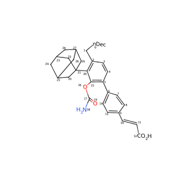 CCCCCCCCCCCc1ccc(-c2ccc(C=CC(=O)O)cc2)c(OC(N)=O)c1C12CC3CC(CC(C3)C1)C2